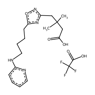 CC(C)(CC(=O)O)Cc1noc(CCCCNc2ccccn2)n1.O=C(O)C(F)(F)F